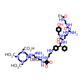 CCC(=O)NCCNC(=O)/N=C(/N)NCCC[C@@H](NC(=O)[C@@H](c1ccccc1)c1ccc(NCCCNc2c(NCCNC(=O)[C@@H](CN)NC(C=O)N3CCN(CC(=O)O)CCN(CC(=O)O)CCN(CC(=O)O)CC3)c(=O)c2=O)cc1)C(=O)NCc1ccc(O)cc1